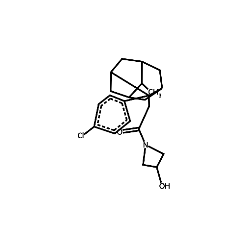 CC1C2CC3CC1CC(C2)C3(CC(=O)N1CC(O)C1)c1ccc(Cl)cc1